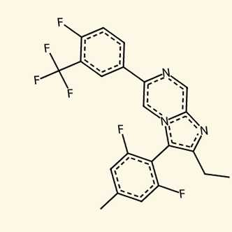 CCc1nc2cnc(-c3ccc(F)c(C(F)(F)F)c3)cn2c1-c1c(F)cc(C)cc1F